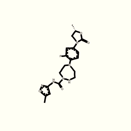 Cc1cc(NC(=O)N2CCN(c3ccc(N4C[C@H](C)OC4=O)cc3F)CCN2)no1